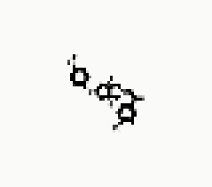 COc1ccc(O[C@H]2C[C@@H]3CN(CC(C)c4ccc(O)c(F)c4)C[C@@H]3C2)cc1